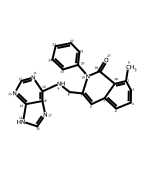 Cc1cccc2cc(CNc3ncnc4[nH]cnc34)n(-c3ccccc3)c(=O)c12